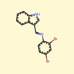 Brc1ccc(/N=C/c2c[nH]c3ccccc23)c(Br)c1